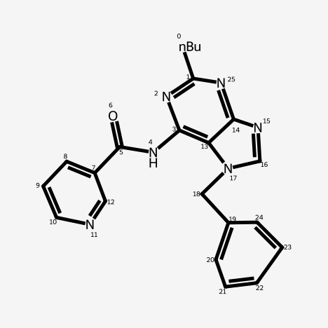 CCCCc1nc(NC(=O)c2cccnc2)c2c(ncn2Cc2ccccc2)n1